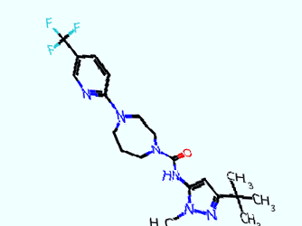 Cn1nc(C(C)(C)C)cc1NC(=O)N1CCCN(c2ccc(C(F)(F)F)cn2)CC1